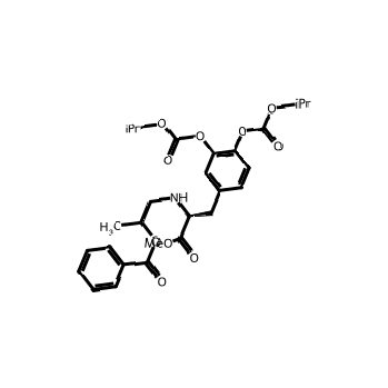 COC(=O)[C@H](Cc1ccc(OC(=O)OC(C)C)c(OC(=O)OC(C)C)c1)NCC(C)OC(=O)c1ccccc1